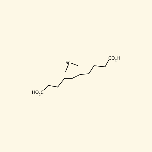 O=C(O)CCCCCCCCC(=O)O.[CH3][Sn][CH3]